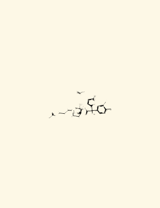 CC(=O)SCCC[N+]12CCC(CC1)[C@@H](NC(=O)C(O)(c1ccc(F)c(C)c1)c1ccc(Br)s1)C2.O=C[O-]